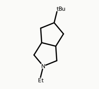 CCN1CC2CC(C(C)(C)C)CC2C1